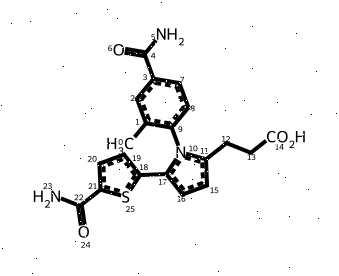 Cc1cc(C(N)=O)ccc1-n1c(CCC(=O)O)ccc1-c1ccc(C(N)=O)s1